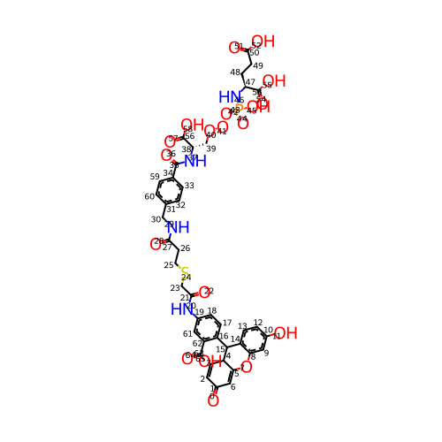 O=C1C=CC2C(=C1)Oc1cc(O)ccc1C2c1ccc(NC(=O)CSCCC(=O)NCc2ccc(C(=O)N[C@@H](COOOP(=O)(O)N[C@@H](CCC(=O)O)C(=O)O)C(=O)O)cc2)cc1C(=O)O